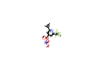 O=NOC(=O)c1cc(C2CC2)nc(C(F)(F)F)c1